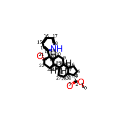 COC(=O)[C@H]1CC[C@H]2[C@@H]3CC[C@H]4C(C5=CC=CC=CN5)C(=O)CC[C@]4(C)[C@H]3CC[C@]12C